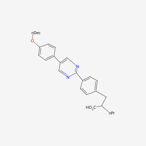 CCCCCCCCCCOc1ccc(-c2cnc(-c3ccc(CC(CCC)C(=O)O)cc3)nc2)cc1